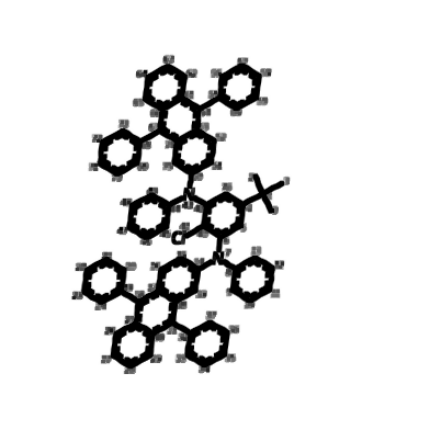 CC(C)(C)c1cc(N(c2ccccc2)c2ccc3c(-c4ccccc4)c4ccccc4c(-c4ccccc4)c3c2)c(Cl)c(N(c2ccccc2)c2ccc3c(-c4ccccc4)c4ccccc4c(-c4ccccc4)c3c2)c1